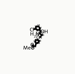 COC(=O)Cc1ccc(OCC(C)C(N)C(O)c2cccc(Cl)c2)cc1